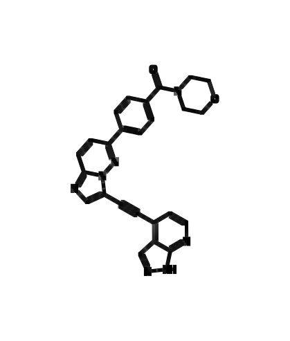 O=C(c1ccc(-c2ccc3ncc(C#Cc4ccnc5[nH]ncc45)n3n2)cc1)N1CCOCC1